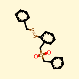 O=S(=O)(Cc1ccccc1)Cc1ccccc1SSCc1ccccc1